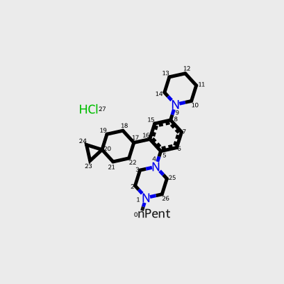 CCCCCN1CCN(c2ccc(N3CCCCC3)cc2C2CCC3(CC2)CC3)CC1.Cl